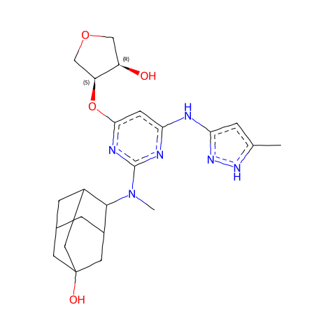 Cc1cc(Nc2cc(O[C@H]3COC[C@H]3O)nc(N(C)C3C4CC5CC3CC(O)(C5)C4)n2)n[nH]1